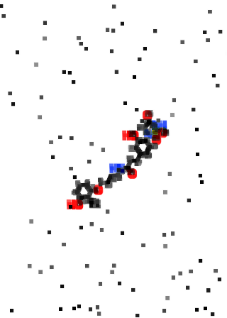 CCc1c(O)cccc1OCCCCNC(=O)CCc1ccc(N2CC(=O)NS2(=O)=O)c(O)c1